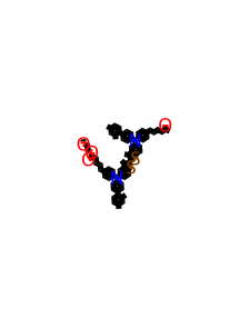 COCCOC(=O)CCCCc1ccc(N(c2ccc(-c3ccc(C)cc3C)cc2)c2ccc3sc(-c4sc5ccc(N(c6ccc(CCCCC(C)=O)cc6)c6ccc(-c7ccc(C)cc7C)cc6)cc5c4C)c(C)c3c2)cc1